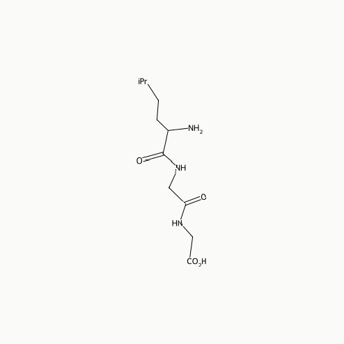 CC(C)CCC(N)C(=O)NCC(=O)NCC(=O)O